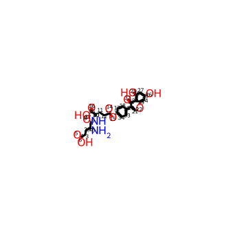 N[C@H](CCC(=O)O)C(=O)N[C@H](CCC(=O)Oc1ccc(-c2coc3cc(O)cc(O)c3c2=O)cc1)C(=O)O